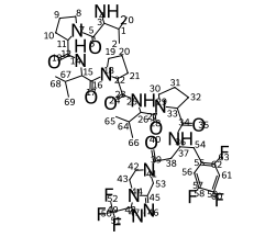 CC(C)C(N)C(=O)N1CCCC1C(=O)NC(C(=O)N1CCCC1C(=O)NC(C(=O)N1CCCC1C(=O)NC(CC(=O)N1CCn2c(nnc2C(F)(F)F)C1)Cc1cc(F)c(F)cc1F)C(C)C)C(C)C